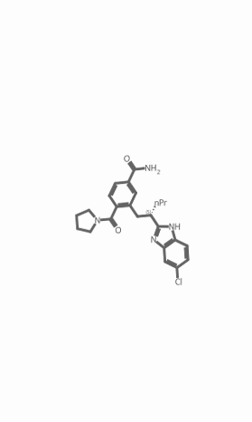 CCC[C@@H](Cc1cc(C(N)=O)ccc1C(=O)N1CCCC1)c1nc2cc(Cl)ccc2[nH]1